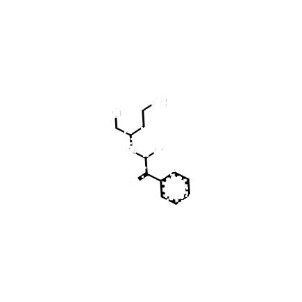 CCCC(CC)NC(O)C(=O)c1ccccc1